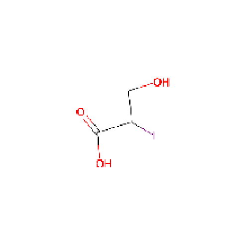 O=C(O)C(I)CO